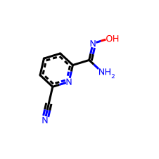 N#Cc1cccc(C(N)=NO)n1